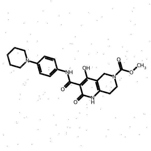 COC(=O)N1CCc2[nH]c(=O)c(C(=O)Nc3ccc(N4CCCCC4)cc3)c(O)c2C1